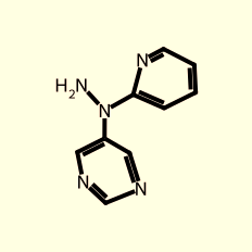 NN(c1cncnc1)c1ccccn1